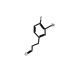 O=CCCc1ccc(F)c(Br)c1